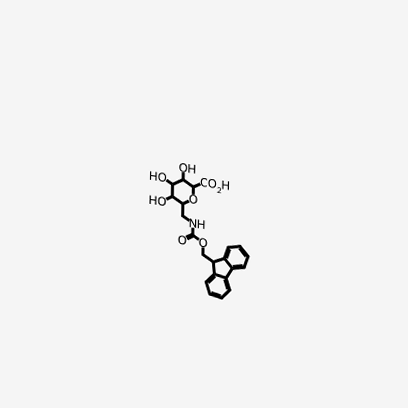 O=C(NCC1OC(C(=O)O)C(O)C(O)C1O)OCC1c2ccccc2-c2ccccc21